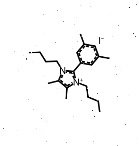 CCCCn1c(C)c(C)[n+](CCCC)c1-c1cc(C)cc(C)c1.[I-]